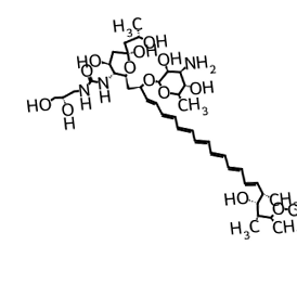 CO[C@@H](C)[C@H](C)[C@H](O)[C@@H](C)/C=C/C=C/C=C/C=C/C=C/C=C/C=C/[C@@H](C[C@@H]1O[C@](O)(C[C@H](C)O)C[C@H](O)[C@H]1NC(=O)NC[C@H](O)CO)O[C@@H]1O[C@H](C)[C@@H](O)[C@H](N)[C@@H]1O